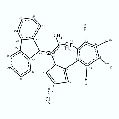 C[C](C)=[Zr+2]([CH]1C=CC=C1c1c(F)c(F)c(F)c(F)c1F)[CH]1c2ccccc2-c2ccccc21.[Cl-].[Cl-]